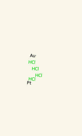 Cl.Cl.Cl.Cl.[Au].[Pt]